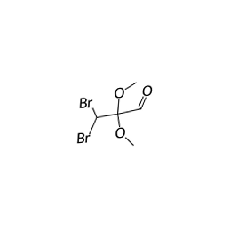 COC(C=O)(OC)C(Br)Br